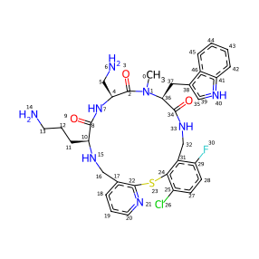 CN1C(=O)[C@H](CN)NC(=O)[C@H](CCCN)NCc2cccnc2Sc2c(Cl)ccc(F)c2CNC(=O)[C@@H]1Cc1c[nH]c2ccccc12